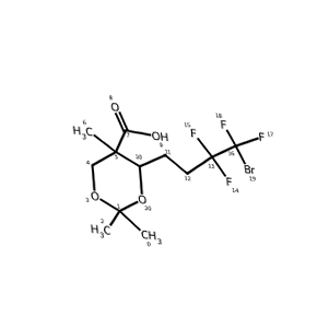 CC1(C)OCC(C)(C(=O)O)C(CCC(F)(F)C(F)(F)Br)O1